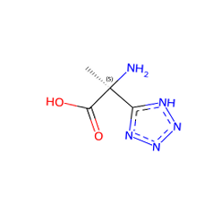 C[C@@](N)(C(=O)O)c1nnn[nH]1